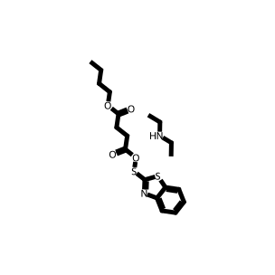 CCCCOC(=O)CCC(=O)OSc1nc2ccccc2s1.CCNCC